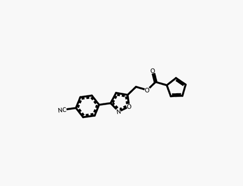 N#Cc1ccc(-c2cc(COC(=O)C3C=CC=C3)on2)cc1